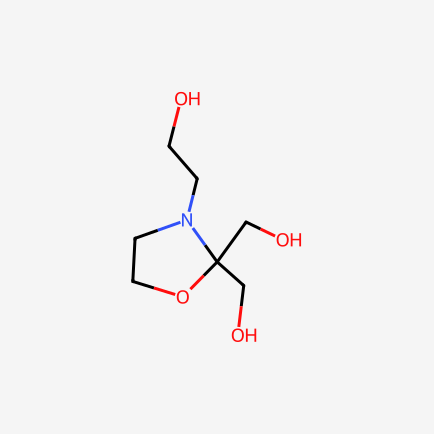 OCCN1CCOC1(CO)CO